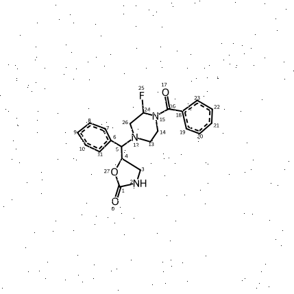 O=C1NCC(C(c2ccccc2)N2CCN(C(=O)c3ccccc3)C(F)C2)O1